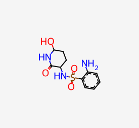 Nc1ccccc1S(=O)(=O)NC1CCC(O)NC1=O